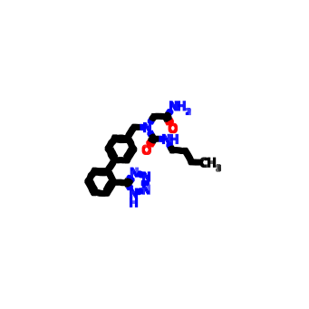 CCCCNC(=O)N(CC(N)=O)Cc1ccc(-c2ccccc2-c2nnn[nH]2)cc1